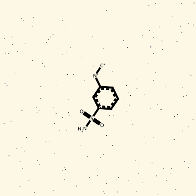 [CH2+][N-]c1cccc(S(N)(=O)=O)c1